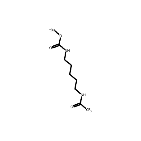 CC(C)(C)OC(=O)NCCCCCNC(=O)C(F)(F)F